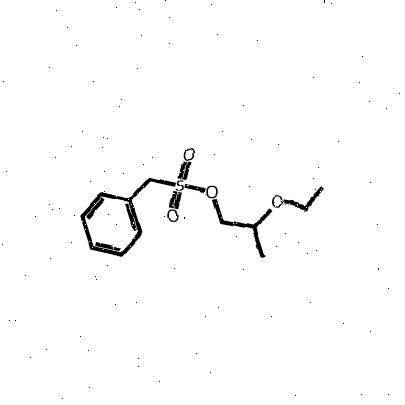 CCOC(C)COS(=O)(=O)Cc1ccccc1